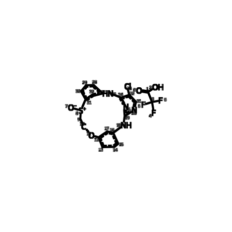 O=C(O)C(F)(F)F.[O-][S+]1CCOc2cccc(c2)Nc2ncc(Cl)c(n2)Nc2cccc1c2